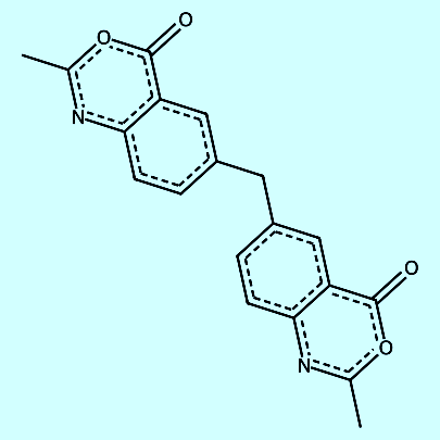 Cc1nc2ccc(Cc3ccc4nc(C)oc(=O)c4c3)cc2c(=O)o1